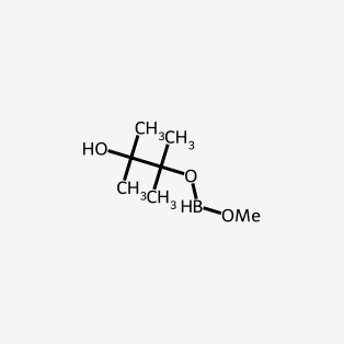 COBOC(C)(C)C(C)(C)O